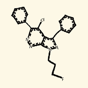 FCCCn1nc(-c2ccccc2)c2c(Cl)c(-c3ccccc3)nnc21